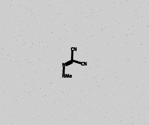 CNN=C(C#N)C#N